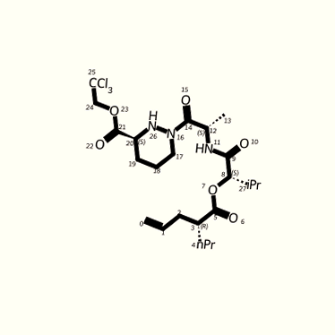 C=CC[C@@H](CCC)C(=O)O[C@H](C(=O)N[C@@H](C)C(=O)N1CCC[C@@H](C(=O)OCC(Cl)(Cl)Cl)N1)C(C)C